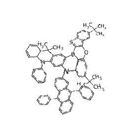 CC(C)(C)c1cc2c3c(c1)N(c1ccc4c(-c5ccccc5)c5ccccc5c(-c5ccccc5)c4c1)c1cc4c(cc1B3c1sc3ccc(C(C)(C)C)cc3c1O2)C(C)(C)C1C=CC=CC1N4c1ccccc1